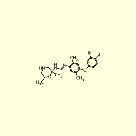 Cc1cc(Oc2ccc(I)c(Br)c2)c(C)cc1/N=C/NC1(C)CNCC(C)O1